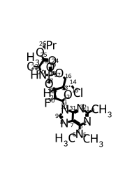 Cc1nc(N(C)C)c2ncn([C@@H]3O[C@]4(CCl)COP(=O)(N[C@@H](C)C(=O)OC(C)C)O[C@H]4[C@H]3F)c2n1